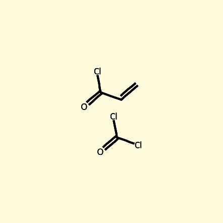 C=CC(=O)Cl.O=C(Cl)Cl